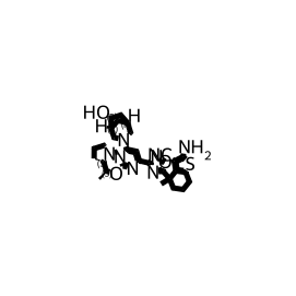 C[C@H](Oc1nc(-c2noc(C3(C)CCCc4sc(N)c(C#N)c43)n2)cc(N2C[C@@H]3C[C@H](C2)[C@H](O)C3)n1)[C@@H]1CCCN1C